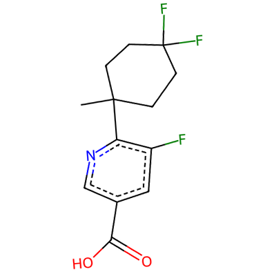 CC1(c2ncc(C(=O)O)cc2F)CCC(F)(F)CC1